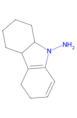 NN1C2=C(CCC=C2)C2CCCCC21